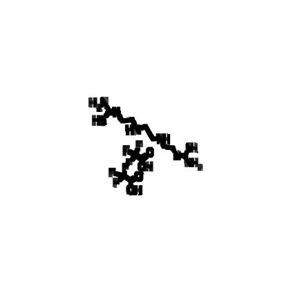 NC(S)=NCCNCCNCCN=C(N)S.O=C(O)C(F)(F)F.O=C(O)C(F)(F)F